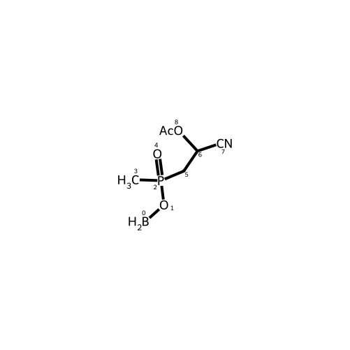 BOP(C)(=O)CC(C#N)OC(C)=O